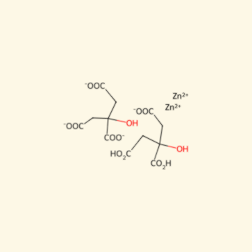 O=C([O-])CC(O)(CC(=O)O)C(=O)O.O=C([O-])CC(O)(CC(=O)[O-])C(=O)[O-].[Zn+2].[Zn+2]